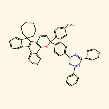 COc1ccc(C2(c3ccc(-c4nc(-c5ccccc5)nc(-c5ccccc5)n4)cc3)C=Cc3c4c(c5ccccc5c3O2)-c2ccccc2C42CCCCCC2)cc1